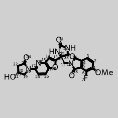 COc1ccc2c(c1F)C(=O)N(C[C@@]1(c3cc4nc(N5C[C@H](O)CC5=O)ccc4o3)NC(=O)NC1=O)C2